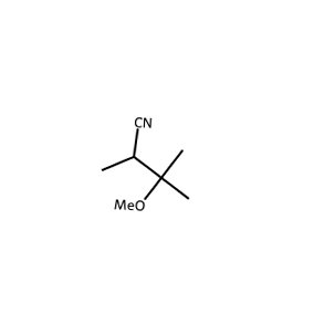 COC(C)(C)C(C)C#N